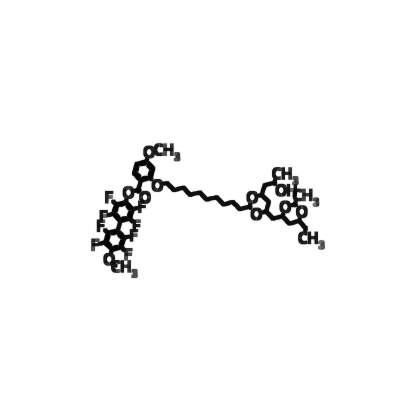 CCC1CC(CC2CC(CC(C)O)OC(CCCCCCCCCCOc3cc(OC)ccc3C(=O)Oc3c(F)c(F)c(-c4c(F)c(F)c(OC)c(F)c4F)c(F)c3F)O2)OC(C)O1